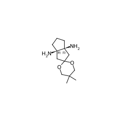 CC1(C)COC2(C[C@]3(N)CCC[C@]3(N)C2)OC1